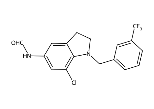 O=CNc1cc(Cl)c2c(c1)CCN2Cc1cccc(C(F)(F)F)c1